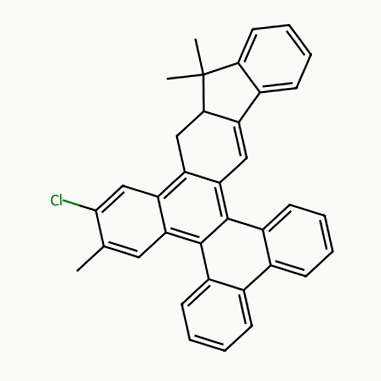 Cc1cc2c(cc1Cl)c1c(c3c4ccccc4c4ccccc4c23)C=C2c3ccccc3C(C)(C)C2C1